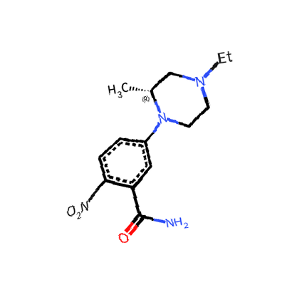 CCN1CCN(c2ccc([N+](=O)[O-])c(C(N)=O)c2)[C@H](C)C1